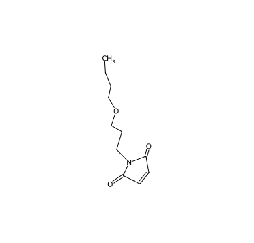 CCCCOCCCN1C(=O)C=CC1=O